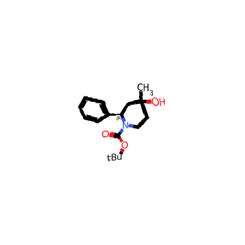 CC1(O)CCN(C(=O)OC(C)(C)C)[C@@H](c2ccccc2)C1